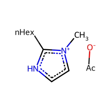 CC(=O)[O-].CCCCCCc1[nH]cc[n+]1C